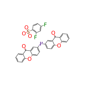 O=S(=O)([O-])c1ccc(F)cc1F.O=c1c2ccccc2oc2ccc([I+]c3ccc4oc5ccccc5c(=O)c4c3)cc12